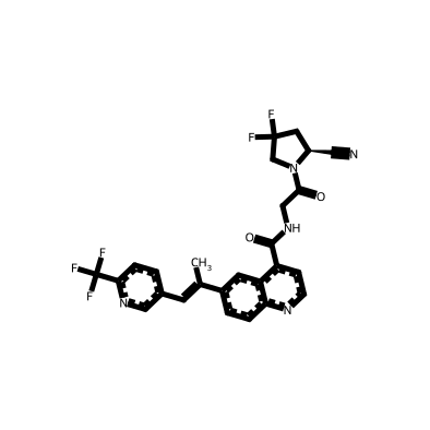 C/C(=C\c1ccc(C(F)(F)F)nc1)c1ccc2nccc(C(=O)NCC(=O)N3CC(F)(F)C[C@H]3C#N)c2c1